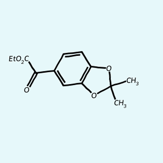 CCOC(=O)C(=O)c1ccc2c(c1)OC(C)(C)O2